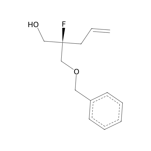 C=CC[C@@](F)(CO)COCc1ccccc1